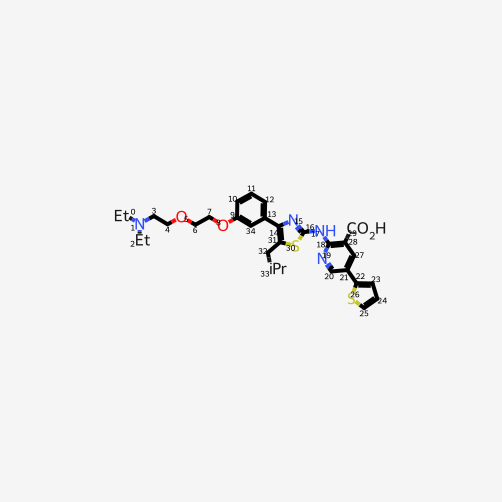 CCN(CC)CCOCCOc1cccc(-c2nc(Nc3ncc(-c4cccs4)cc3C(=O)O)sc2CC(C)C)c1